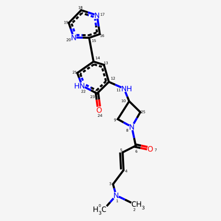 CN(C)C/C=C/C(=O)N1CC(Nc2cc(-c3cnccn3)c[nH]c2=O)C1